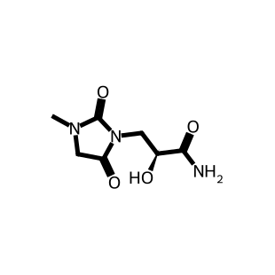 CN1CC(=O)N(C[C@H](O)C(N)=O)C1=O